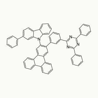 c1ccc(-c2ccc3c4ccccc4n(-c4cc5c6ccccc6c6ccccc6c5cc4-c4cccc(-c5nc(-c6ccccc6)nc(-c6ccccc6)n5)c4)c3c2)cc1